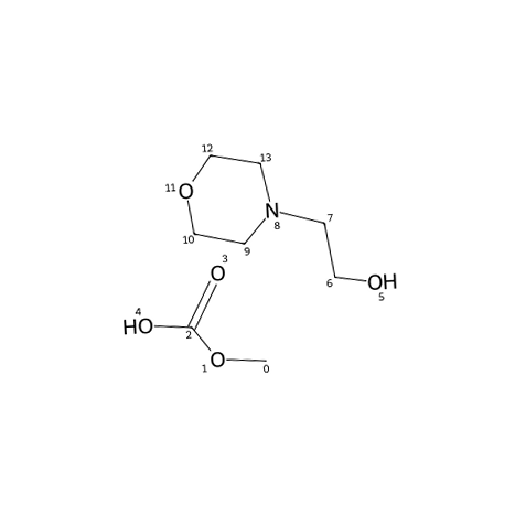 COC(=O)O.OCCN1CCOCC1